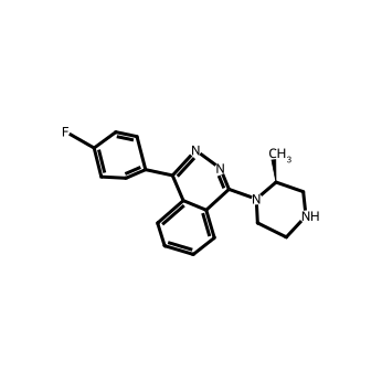 C[C@H]1CNCCN1c1nnc(-c2ccc(F)cc2)c2ccccc12